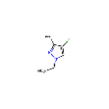 CCCc1nn(CC(=O)O)cc1Cl